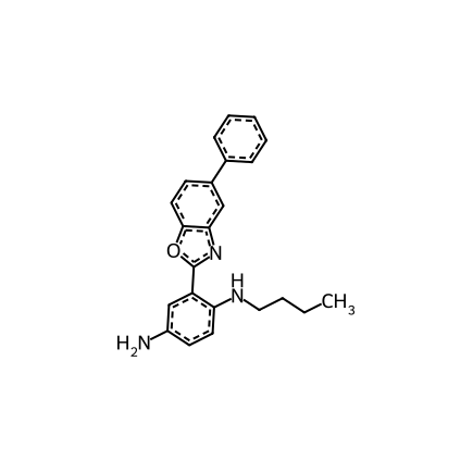 CCCCNc1ccc(N)cc1-c1nc2cc(-c3ccccc3)ccc2o1